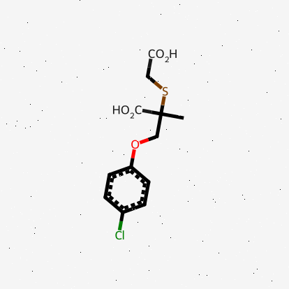 CC(COc1ccc(Cl)cc1)(SCC(=O)O)C(=O)O